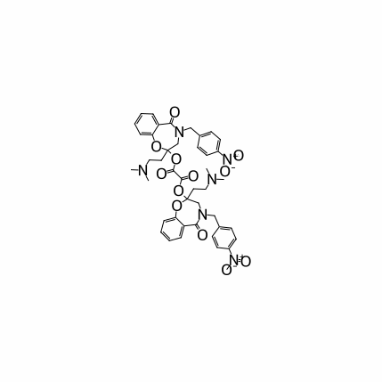 CN(C)CCC1(OC(=O)C(=O)OC2(CCN(C)C)CN(Cc3ccc([N+](=O)[O-])cc3)C(=O)c3ccccc3O2)CN(Cc2ccc([N+](=O)[O-])cc2)C(=O)c2ccccc2O1